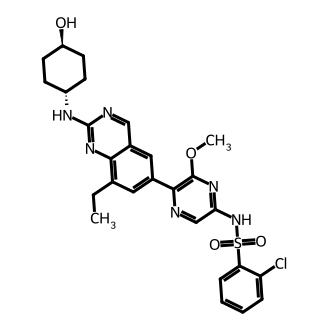 CCc1cc(-c2ncc(NS(=O)(=O)c3ccccc3Cl)nc2OC)cc2cnc(N[C@H]3CC[C@H](O)CC3)nc12